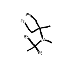 CCC(C)(CC)N(C)C(C)(CC(C)C)CC(C)C